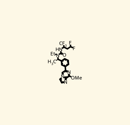 CCN(C(=O)NC(CC(F)F)C(F)(F)F)[C@H](C)c1cccc(-c2cn3ccnc3c(OC)n2)c1